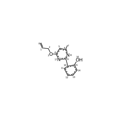 C=CCOc1cc(C)nc(-c2ccccc2O)n1